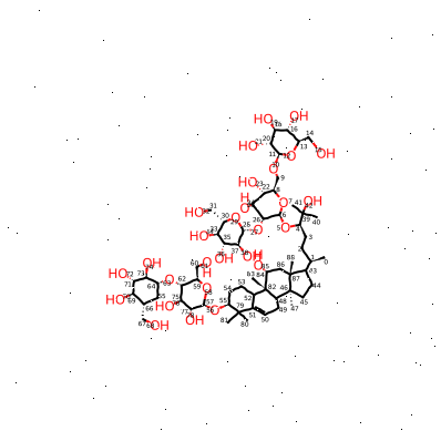 C[C@H](CC[C@@H](O[C@@H]1O[C@H](CO[C@@H]2O[C@H](CO)[C@@H](O)[C@H](O)[C@H]2O)[C@@H](O)[C@H](O)[C@H]1O[C@H]1O[C@@H](CO)[C@H](O)[C@@H](O)[C@@H]1O)C(C)(C)O)C1CC[C@@]2(C)C3CC=C4C(CC[C@H](O[C@@H]5O[C@H](CO)[C@@H](O[C@@H]6C[C@H](CO)[C@@H](O)[C@H](O)[C@H]6O)[C@H](O)[C@H]5O)C4(C)C)[C@]3(C)[C@H](O)C[C@]12C